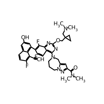 C#Cc1c(F)ccc2cc(O)cc(-c3c(F)cc4c(N5CCCn6nc(C(=O)N(C)C)cc6C5)nc(OCC5(CN(C)C)CC5)nc4c3F)c12